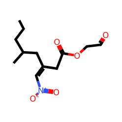 CCCC(C)CC(=C[N+](=O)[O-])CC(=O)OCC=O